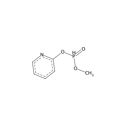 CO[PH](=O)Oc1ccccn1